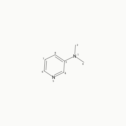 CN(C)c1[c]nccc1